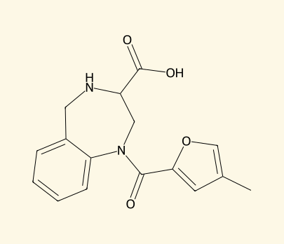 Cc1coc(C(=O)N2CC(C(=O)O)NCc3ccccc32)c1